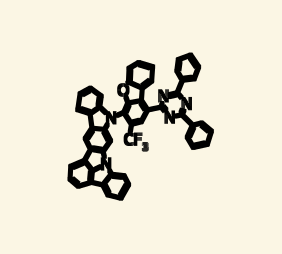 FC(F)(F)c1cc(-c2nc(-c3ccccc3)nc(-c3ccccc3)n2)c2c(oc3ccccc32)c1-n1c2ccccc2c2cc3c4cccc5c6ccccc6n(c3cc21)c54